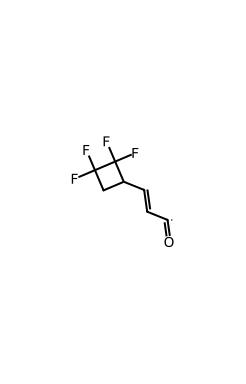 O=[C]C=CC1CC(F)(F)C1(F)F